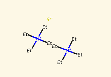 CC[N+](CC)(CC)CC.CC[N+](CC)(CC)CC.[S-2]